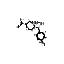 Cl.FC(F)[C@H]1CN[C@@H](Cc2ccc(Cl)cc2)CO1